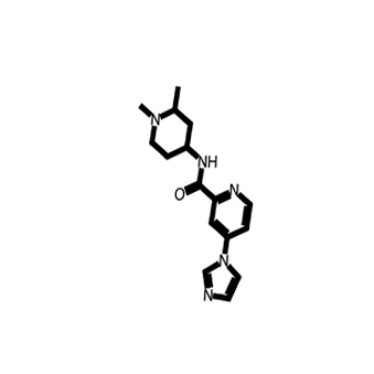 CC1CC(NC(=O)c2cc(-n3ccnc3)ccn2)CCN1C